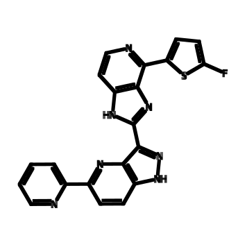 Fc1ccc(-c2nccc3[nH]c(-c4n[nH]c5ccc(-c6ccccn6)nc45)nc23)s1